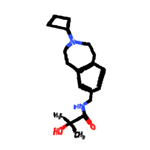 CC(C)(O)C(=O)NCc1ccc2c(c1)CCN(C1CCC1)CC2